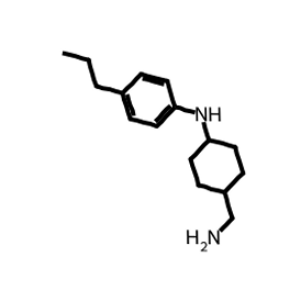 CCCc1ccc(NC2CCC(CN)CC2)cc1